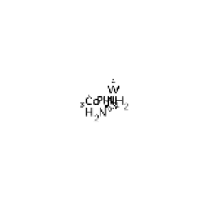 NN.P.[Co].[W]